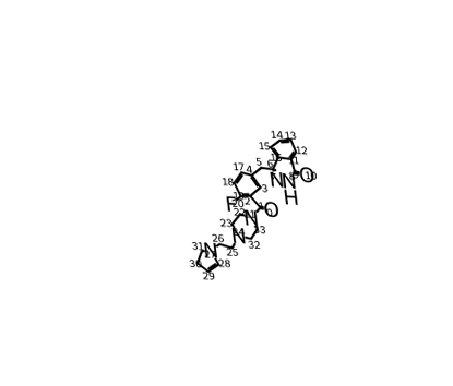 O=C(c1cc(Cc2n[nH]c(=O)c3ccccc23)ccc1F)N1CCN(CCN2C=CCC2)CC1